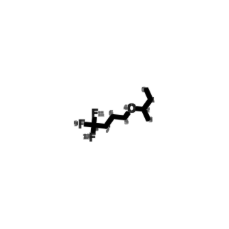 CCC(C)OCC[CH]C(F)(F)F